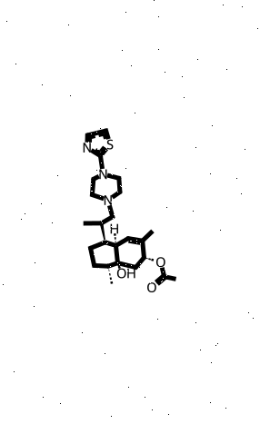 CC(=O)O[C@@H]1[CH][C@@]2(O)[C@H](C)CC[C@@H](C(C)CN3CCN(c4nccs4)CC3)[C@H]2C=C1C